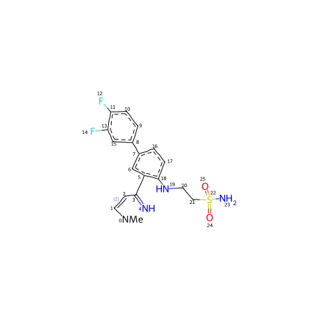 CN/C=C\C(=N)c1cc(-c2ccc(F)c(F)c2)ccc1NCCS(N)(=O)=O